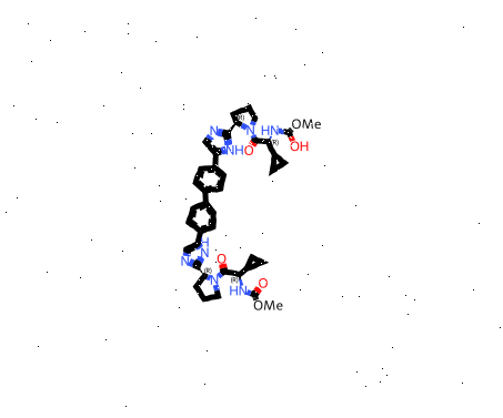 COC(=O)N[C@@H](C(=O)N1CCC[C@@H]1c1ncc(-c2ccc(-c3ccc(-c4cnc([C@H]5CCCN5C(=O)[C@H](NC(O)OC)C5CC5)[nH]4)cc3)cc2)[nH]1)C1CC1